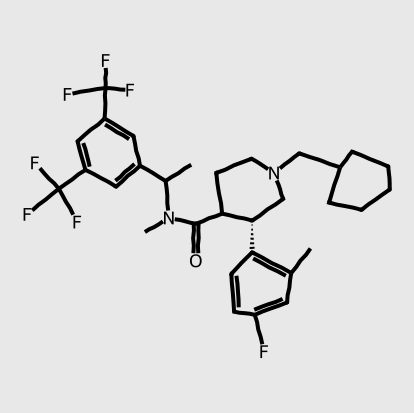 Cc1cc(F)ccc1[C@H]1CN(CC2CCCCC2)CCC1C(=O)N(C)C(C)c1cc(C(F)(F)F)cc(C(F)(F)F)c1